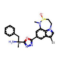 CCc1cn2c3c(cc(-c4nnc([C@](C)(N)Cc5ccccc5)o4)cc13)N(C)[S+]([O-])CC2